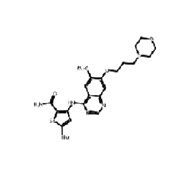 COc1cc2c(Nc3cc(C(C)(C)C)[se]c3C(N)=O)ncnc2cc1OCCCN1CCOCC1